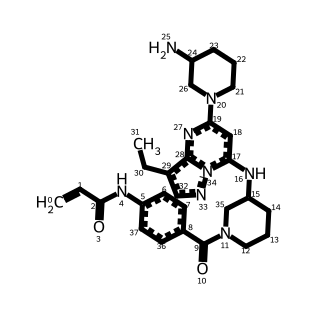 C=CC(=O)Nc1ccc(C(=O)N2CCCC(Nc3cc(N4CCCC(N)C4)nc4c(CC)cnn34)C2)cc1